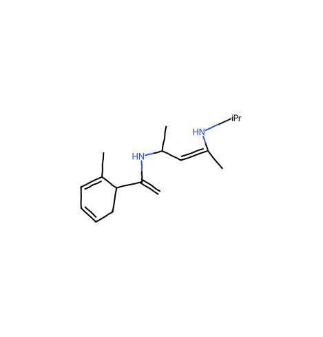 C=C(NC(C)/C=C(/C)NC(C)C)C1CC=CC=C1C